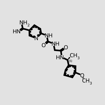 COc1cccc([C@H](C)NC(=O)CNC(=O)Nc2ccc(C(=N)N)cn2)c1